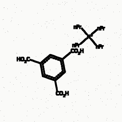 CCC[N+](CCC)(CCC)CCC.O=C(O)c1cc(C(=O)O)cc(C(=O)O)c1